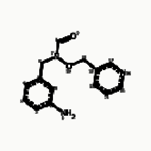 Nc1cccc([CH]N(C=O)OCc2cccnc2)c1